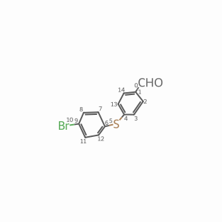 O=Cc1ccc(Sc2ccc(Br)cc2)cc1